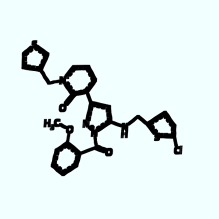 COc1ccccc1C(=O)n1nc(-c2cccn(Cc3ccsc3)c2=O)cc1NCc1ccc(Cl)s1